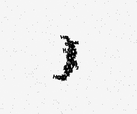 Cc1c(Nc2nccc3cc(CN4CC[C@@H](O)C4)cnc23)cccc1-c1cccc(-c2nc3c(=O)n(CCO)cc(C#N)c3o2)c1C